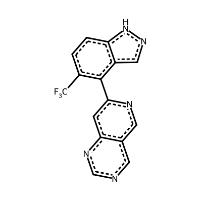 FC(F)(F)c1ccc2[nH]ncc2c1-c1cc2ncncc2cn1